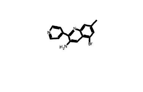 Cc1cc(Br)c2cc(N)c(-c3ccncc3)nc2c1